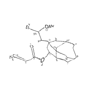 C=CC(=O)OC1C2CC3CC(C2)CC1(CC(CC)OC)C3